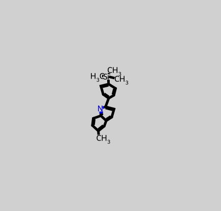 Cc1ccc2nc(-c3ccc([Si](C)(C)C)cc3)ccc2c1